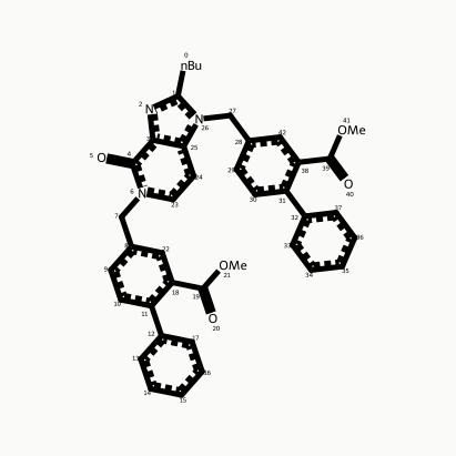 CCCCc1nc2c(=O)n(Cc3ccc(-c4ccccc4)c(C(=O)OC)c3)ccc2n1Cc1ccc(-c2ccccc2)c(C(=O)OC)c1